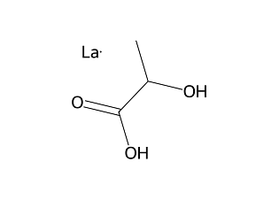 CC(O)C(=O)O.[La]